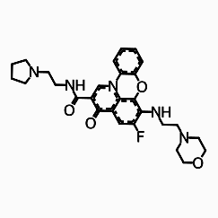 O=C(NCCN1CCCC1)c1cn2c3c(c(NCCN4CCOCC4)c(F)cc3c1=O)Oc1ccccc1-2